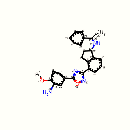 CC(C)Oc1ccc(-c2nc(-c3cccc4c3CC[C@H]4N[C@H](C)c3ccccc3)no2)cc1N